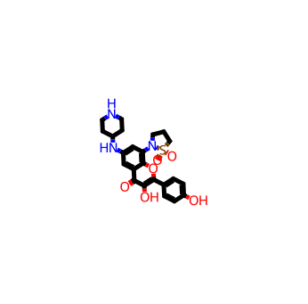 O=c1c(O)c(-c2ccc(O)cc2)oc2c(N3CCCS3(=O)=O)cc(NC3CCNCC3)cc12